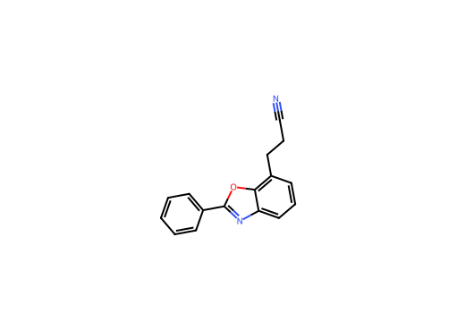 N#CCCc1cccc2nc(-c3ccccc3)oc12